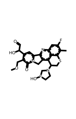 COCc1c(C(O)C=O)cc2n(c1=O)Cc1c-2nc2cc(F)c(C)c3c2c1C(N1CCP(O)C1)CS3